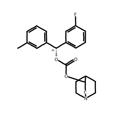 Cc1cccc([C@@H](OC(=O)OC2CN3CCC2CC3)c2cccc(F)c2)c1